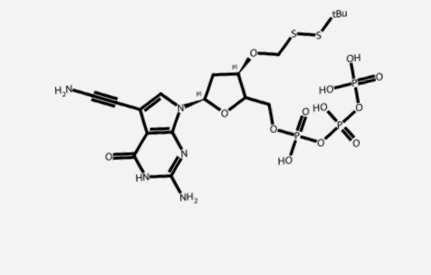 CC(C)(C)SSCO[C@@H]1C[C@H](n2cc(C#CN)c3c(=O)[nH]c(N)nc32)OC1COP(=O)(O)OP(=O)(O)OP(=O)(O)O